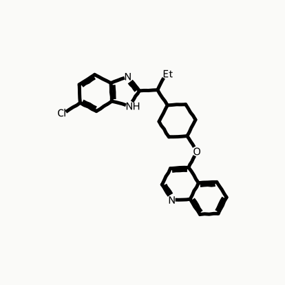 CCC(c1nc2ccc(Cl)cc2[nH]1)C1CCC(Oc2ccnc3ccccc23)CC1